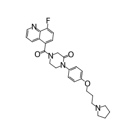 O=C(c1ccc(F)c2ncccc12)N1CCN(c2ccc(OCCCN3CCCC3)cc2)C(=O)C1